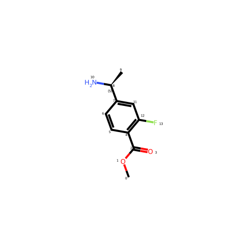 COC(=O)c1ccc([C@H](C)N)cc1F